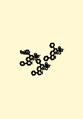 O=S(=O)([O-])c1cc(-c2ccccc2)c2ccc3c(-c4ccccc4)ccnc3c2n1.O=S(=O)([O-])c1cc(-c2ccccc2)c2ccc3c(-c4ccccc4)ccnc3c2n1.O=S(=O)([O-])c1cc(-c2ccccc2)c2ccc3c(-c4ccccc4)ccnc3c2n1.[Fe+3].[NaH]